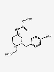 COc1ccc(CN2C[C@H](NC(=O)OC(C)(C)C)CC[C@H]2CC(=O)O)cc1